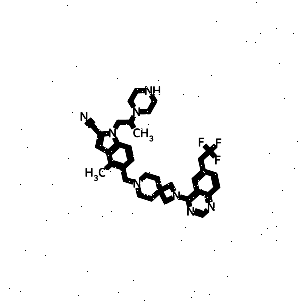 Cc1c(CN2CCC3(CC2)CN(c2ncnc4ccc(CC(F)(F)F)cc24)C3)ccc2c1cc(C#N)n2CC(C)N1CCNCC1